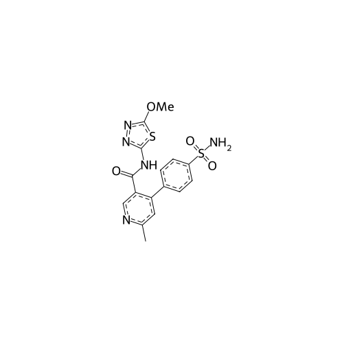 COc1nnc(NC(=O)c2cnc(C)cc2-c2ccc(S(N)(=O)=O)cc2)s1